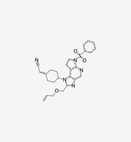 C=CCOCc1nc2cnc3c(ccn3S(=O)(=O)c3ccccc3)c2n1C1CCC(=CC#N)CC1